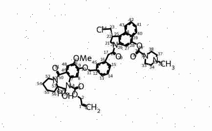 C=CCOC(=O)N1c2cc(OCc3cccc(CC(=O)N4C[C@@H](CCl)c5c4cc(OC(=O)N4CCN(C)CC4)c4ccccc54)c3)c(OC)cc2C(=O)N2CCCC[C@H]2C1O